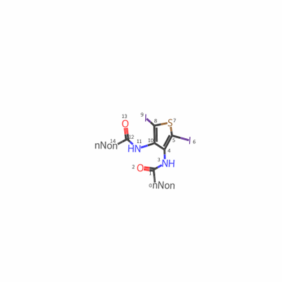 CCCCCCCCCC(=O)Nc1c(I)sc(I)c1NC(=O)CCCCCCCCC